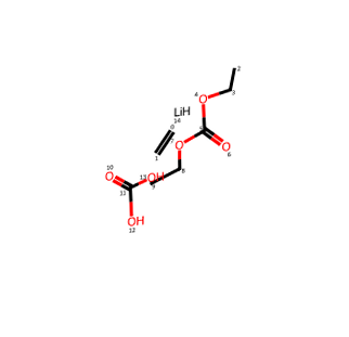 C=C.CCOC(=O)OCC.O=C(O)O.[LiH]